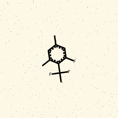 [CH2]C(F)(F)c1c(C)cc(C)cc1F